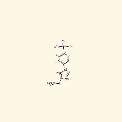 C=Cc1ncn(-c2ccc(C(F)(F)F)cn2)n1